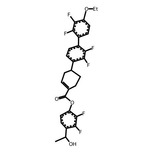 CCOc1ccc(-c2ccc(C3CC=C(C(=O)Oc4ccc(C(C)O)c(F)c4F)CC3)c(F)c2F)c(F)c1F